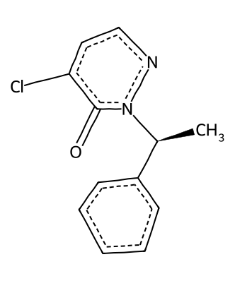 C[C@@H](c1ccccc1)n1nccc(Cl)c1=O